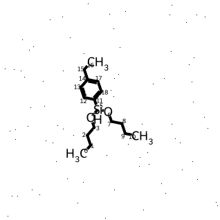 CCCCO[SiH](OCCCC)c1ccc(CC)cc1